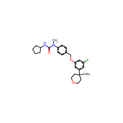 COC1(c2cc(F)cc(OCc3ccc(N(C)C(=O)NC4CCCC4)cc3)c2)CCOCC1